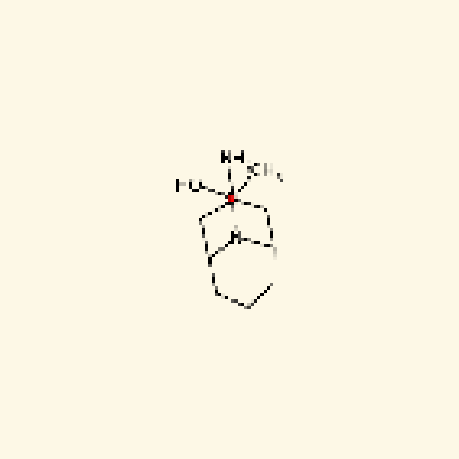 CB(O)N1C2CCCC1CC(N)C2